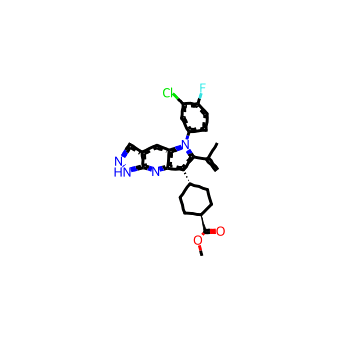 C=C(C)c1c([C@H]2CC[C@H](C(=O)OC)CC2)c2nc3[nH]ncc3cc2n1-c1ccc(F)c(Cl)c1